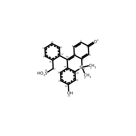 C[Si]1(C)C2=CC(=O)C=CC2=C(c2ccccc2CS(=O)(=O)O)c2ccc(O)cc21